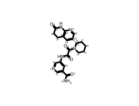 NC(=O)c1cncc(NC(=O)C(=O)N2CCCC[C@H]2c2cnc3c(c2)CCC(=O)N3)c1